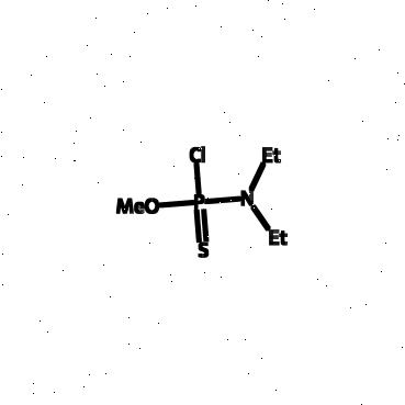 CCN(CC)P(=S)(Cl)OC